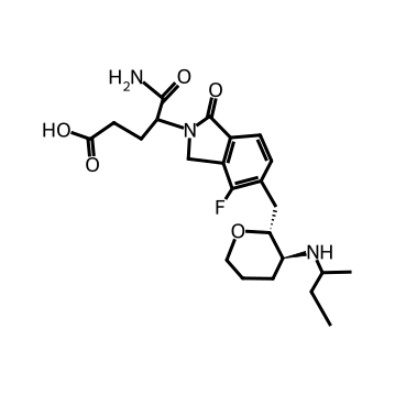 CCC(C)N[C@H]1CCCO[C@@H]1Cc1ccc2c(c1F)CN(C(CCC(=O)O)C(N)=O)C2=O